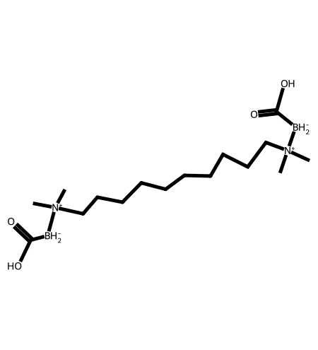 C[N+](C)([BH2-]C(=O)O)CCCCCCCCCC[N+](C)(C)[BH2-]C(=O)O